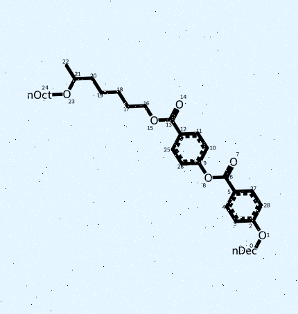 CCCCCCCCCCOc1ccc(C(=O)Oc2ccc(C(=O)OCCCCCC(C)OCCCCCCCC)cc2)cc1